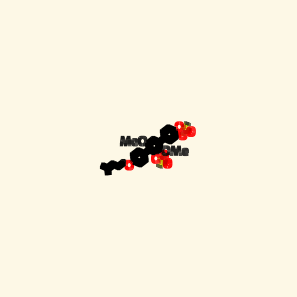 COc1cc(-c2ccc(OS(C)(=O)=O)cc2)c(OC)c(OS(C)(=O)=O)c1-c1ccc(OCCC=C(C)C)cc1